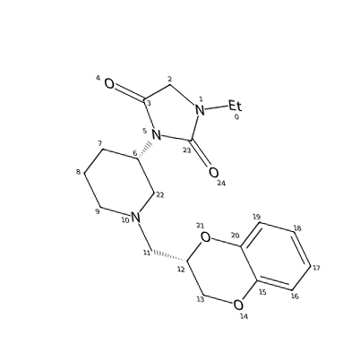 CCN1CC(=O)N([C@H]2CCCN(C[C@H]3COc4ccccc4O3)C2)C1=O